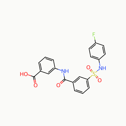 O=C(O)c1cccc(NC(=O)c2cccc(S(=O)(=O)Nc3ccc(F)cc3)c2)c1